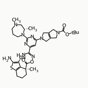 C[C@H]1CN(C)CCCN1c1nc(/C(N)=N/OC(=O)[C@@]2(C)CCCc3sc(N)c(C#N)c32)cc(N2CC3=C(CN(C(=O)OC(C)(C)C)C3)C2)n1